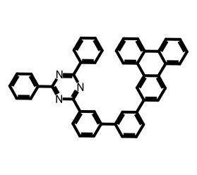 c1ccc(-c2nc(-c3ccccc3)nc(-c3cccc(-c4cccc(-c5ccc6c7ccccc7c7ccccc7c6c5)c4)c3)n2)cc1